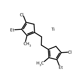 CCC1=C(Cl)CC(CCC2=C(C)C(CC)=C(Cl)C2)=C1C.[Ti]